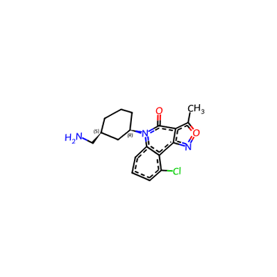 Cc1onc2c1c(=O)n([C@@H]1CCC[C@H](CN)C1)c1cccc(Cl)c21